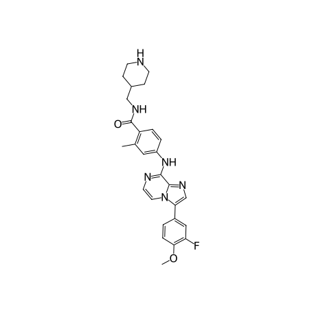 COc1ccc(-c2cnc3c(Nc4ccc(C(=O)NCC5CCNCC5)c(C)c4)nccn23)cc1F